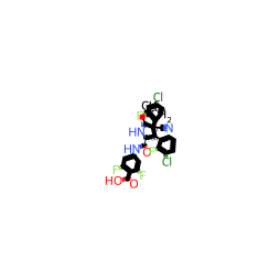 C=C(C)C[C@@H]1N[C@@H](C(=O)Nc2cc(F)c(C(=O)O)c(F)c2)[C@H](c2cccc(Cl)c2F)[C@@]1(C#N)c1ccc(Cl)cc1F